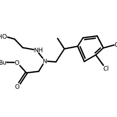 CC(CN(CC(=O)OC(C)(C)C)NCCO)c1ccc(Cl)c(Cl)c1